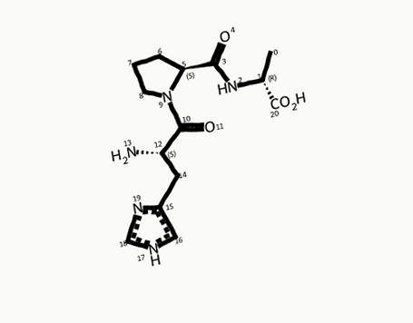 C[C@@H](NC(=O)[C@@H]1CCCN1C(=O)[C@@H](N)Cc1c[nH]cn1)C(=O)O